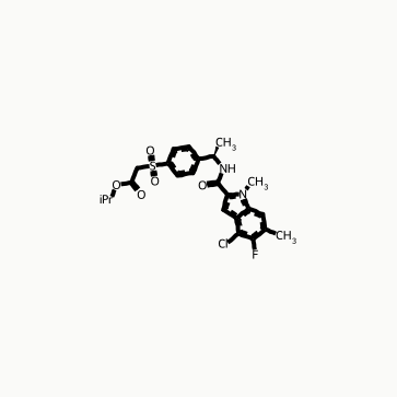 Cc1cc2c(cc(C(=O)N[C@H](C)c3ccc(S(=O)(=O)CC(=O)OC(C)C)cc3)n2C)c(Cl)c1F